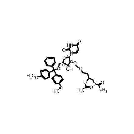 COc1ccc(C(OC[C@H]2O[C@@H](n3ccc(=O)[nH]c3=O)[C@H](OCOCCC(COC(C)=O)OC(C)=O)[C@H]2O)(c2ccccc2)c2ccc(OC)cc2)cc1